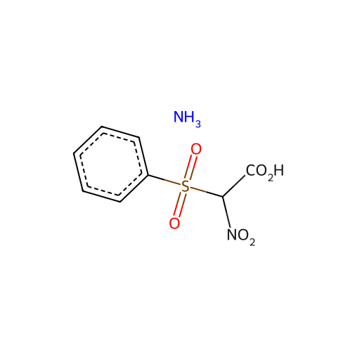 N.O=C(O)C([N+](=O)[O-])S(=O)(=O)c1ccccc1